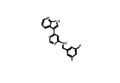 Fc1cc(F)cc(CNc2cc(-c3c[nH]c4ncccc34)ncn2)c1